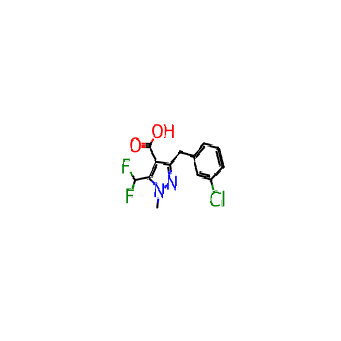 Cn1nc(Cc2cccc(Cl)c2)c(C(=O)O)c1C(F)F